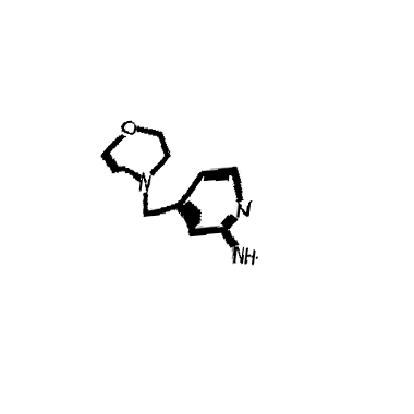 [NH]c1cc(CN2CCOCC2)ccn1